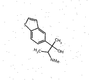 CNC(C)C(C)(O)c1ccc2sccc2c1